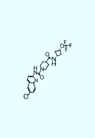 O=C(N[C@H]1C[C@@H](OC(F)(F)F)C1)C1CCN(C(=O)Nc2ccc3cc(Cl)ccc3n2)CC1